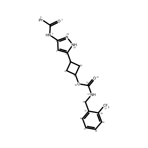 CC(C)C(=O)Nc1cc(C2CC(OC(=O)NCc3ccccc3C(F)(F)F)C2)[nH]n1